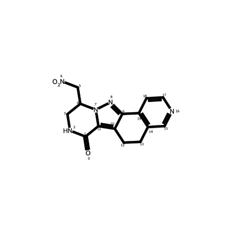 O=C1NCC(C[N+](=O)[O-])n2nc3c(c21)CCc1cnccc1-3